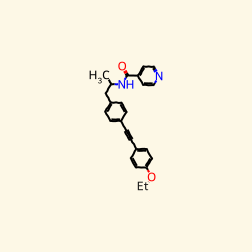 CCOc1ccc(C#Cc2ccc(CC(C)NC(=O)c3ccncc3)cc2)cc1